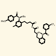 CCCCN(C(=O)c1ccc(SC)cc1)c1cc(C)ccc1CCCC(=O)OC(=O)CCCc1ccccc1N(CCC)C(=O)c1cccc(C(F)(F)F)c1